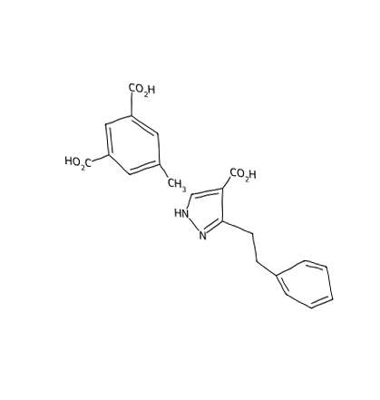 Cc1cc(C(=O)O)cc(C(=O)O)c1.O=C(O)c1c[nH]nc1CCc1ccccc1